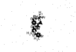 Cc1cc(C(=O)N2Cc3c(c(=O)n(-c4ccc(C(=O)N(C)COC(=O)[C@@H](C)C(C)C)cc4)c4c(CC5CC5)cnn34)C[C@H]2C)ccc1Br